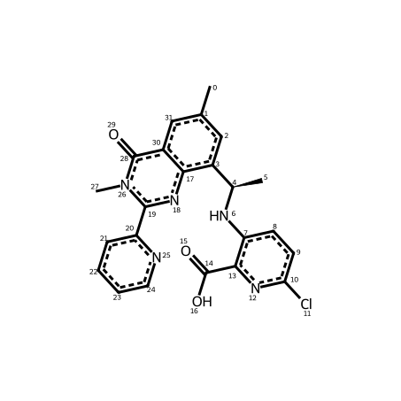 Cc1cc([C@@H](C)Nc2ccc(Cl)nc2C(=O)O)c2nc(-c3ccccn3)n(C)c(=O)c2c1